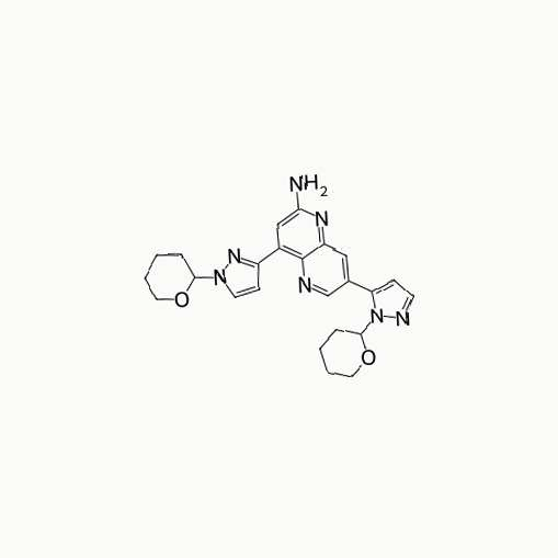 Nc1cc(-c2ccn(C3CCCCO3)n2)c2ncc(-c3ccnn3C3CCCCO3)cc2n1